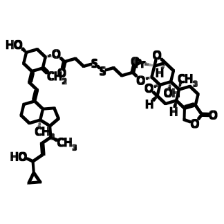 C=C1/C(=C\C=C2/CCC[C@@]3(C)C2CCC3[C@@H](C)/C=C/C(O)C2CC2)C[C@@H](O)C[C@@H]1OC(=O)CCSSCCC(=O)O[C@@H]1[C@@]2(C(C)C)O[C@H]2C[C@]2(O)[C@]13O[C@H]3C[C@H]1C3=C(CC[C@@]12C)C(=O)OC3